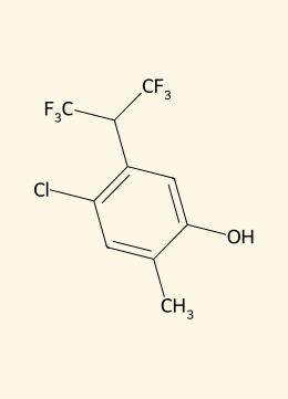 Cc1cc(Cl)c(C(C(F)(F)F)C(F)(F)F)cc1O